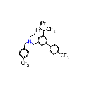 CC(C)CCN(Cc1ccc(C(F)(F)F)cc1)Cc1cc(-c2ccc(C(F)(F)F)cc2)cc(C(C)CC(C)C)c1